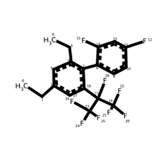 CCc1[c]c(CC)c(-c2ccc(F)cc2F)c(C(F)(C(F)(F)F)C(F)(F)F)c1